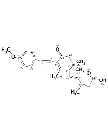 COc1ccc(C#CC2=C(C)C(/C=C/C(C)=C\C(=O)O)C(C)(C)CC2=O)cc1